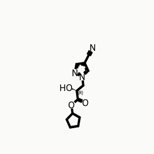 N#Cc1cnn(C[C@@H](O)C(=O)OC2CCCC2)c1